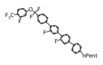 CCCCCc1ccc(-c2ccc(-c3ccc(-c4ccc(C(F)(F)Oc5ccc(C(F)(F)F)c(F)c5)cc4)c(F)c3)c(F)c2)cc1